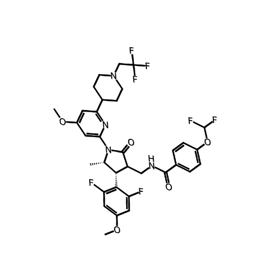 COc1cc(C2CCN(CC(F)(F)F)CC2)nc(N2C(=O)C(CNC(=O)c3ccc(OC(F)F)cc3)[C@H](c3c(F)cc(OC)cc3F)[C@@H]2C)c1